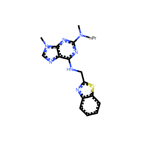 CCCN(C)c1nc(NCc2nc3ccccc3s2)c2ncn(C)c2n1